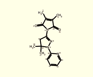 CC1=C(C)C(=O)N(C2=NN(c3ccccn3)C(C)(C)C2)C1=O